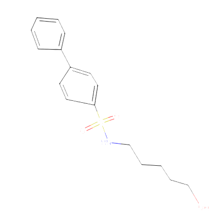 O=S(=O)(NCCCCCO)c1ccc(-c2ccccc2)cc1